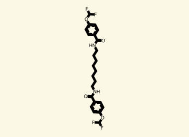 O=C(NCCCCCCCCNC(=O)c1ccc(OC(F)F)cc1)c1ccc(OC(F)F)cc1